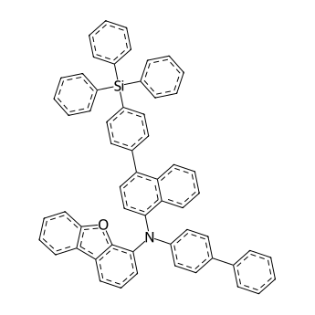 c1ccc(-c2ccc(N(c3ccc(-c4ccc([Si](c5ccccc5)(c5ccccc5)c5ccccc5)cc4)c4ccccc34)c3cccc4c3oc3ccccc34)cc2)cc1